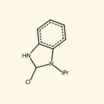 CC(C)N1c2ccccc2NC1Cl